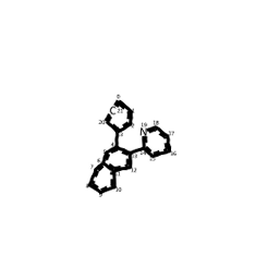 c1ccc(-c2cc3ccccc3cc2-c2ccccn2)cc1